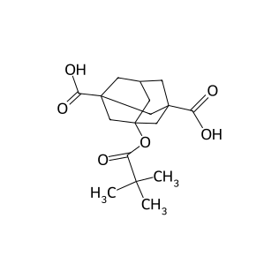 CC(C)(C)C(=O)OC12CC3CC(C(=O)O)(C1)CC(C(=O)O)(C3)C2